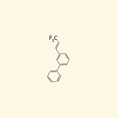 FC(F)(F)C=Cc1cccc(-c2ccccc2)c1